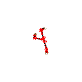 C=C(C(=O)OCCCCCCCCCC(=O)OCC(COC(=O)CCCCCCCCCOC(=O)C(=C)c1ccc(Br)cc1)OC(=O)CCCCCCCCCOC(=O)C(=C)c1ccc(Br)cc1)c1ccc(Br)cc1